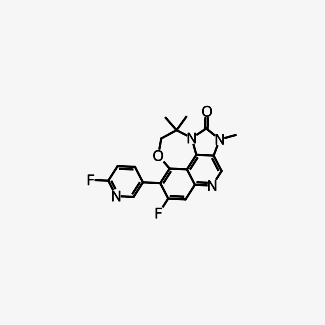 Cn1c(=O)n2c3c4c(c(-c5ccc(F)nc5)c(F)cc4ncc31)OCC2(C)C